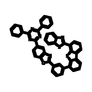 c1ccc(-c2nc(-c3ccccc3)nc(-c3ccc4oc(-c5cccc(-c6cccc7c6sc6c(-c8nc9ccccc9s8)cccc67)c5)nc4c3)n2)cc1